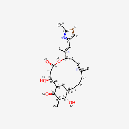 CCc1nc(/C=C(\C)[C@@H]2C/C=C(/C)CCC[C@@H]3C[C@@](C)(C(=O)[C@H](C)[C@H]3O)[C@@H](O)CC(=O)O2)cs1